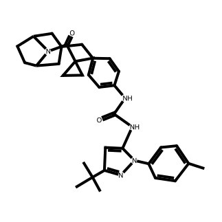 Cc1ccc(-n2nc(C(C)(C)C)cc2NC(=O)Nc2ccc(CC3CC4CCC(C3)N4C(=O)C3(C)CC3)cc2)cc1